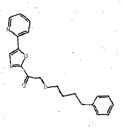 O=C(COCCCCc1ccccc1)c1ncc(-c2ccccn2)o1